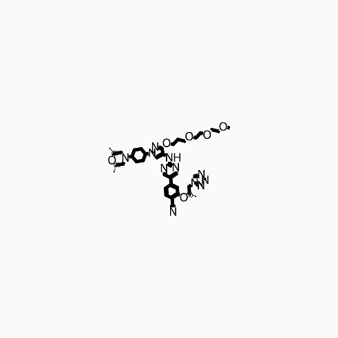 COCCOCCOCCCOc1nn(C2CCC(N3C[C@@H](C)O[C@@H](C)C3)CC2)cc1Nc1ncc(-c2ccc(C#N)c(O[C@@H](C)Cn3cnnn3)c2)cn1